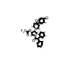 O=C(C(c1ccccc1)c1ccccc1)N1C[C@H](OC(=O)C(F)(F)F)[C@@H](N2CCC(O)(c3ccc(Cl)cc3)CC2)C1